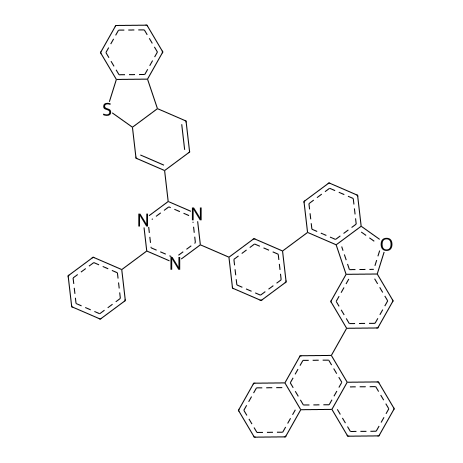 C1=CC2c3ccccc3SC2C=C1c1nc(-c2ccccc2)nc(-c2cccc(-c3cccc4oc5ccc(-c6cc7ccccc7c7ccccc67)cc5c34)c2)n1